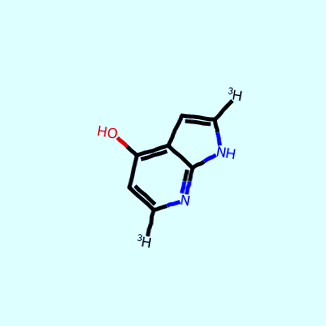 [3H]c1cc(O)c2cc([3H])[nH]c2n1